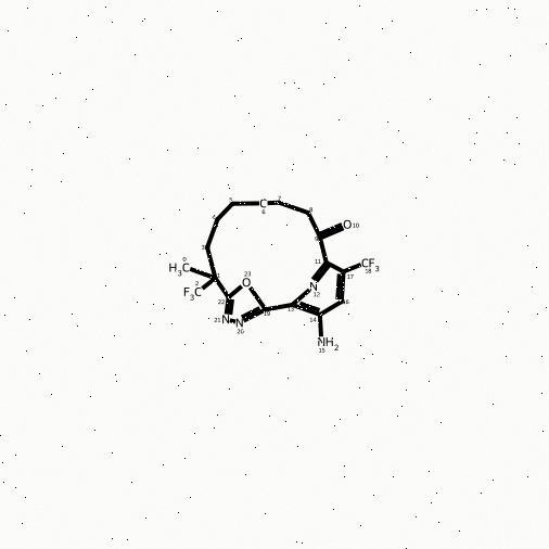 CC1(C(F)(F)F)CCCCCCC(=O)c2nc(c(N)cc2C(F)(F)F)-c2nnc1o2